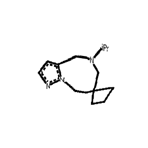 CC(C)N1Cc2ccnn2CC2(CCC2)C1